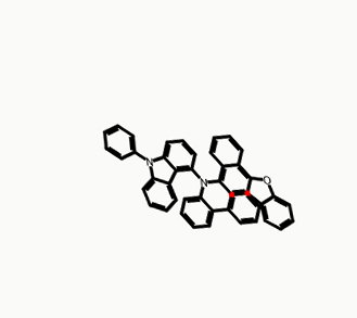 c1ccc(-c2ccccc2N(c2cc3c4ccccc4oc3c3ccccc23)c2cccc3c2c2ccccc2n3-c2ccccc2)cc1